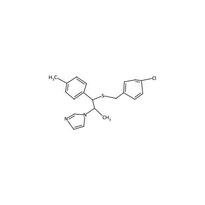 Cc1ccc(C(SCc2ccc(Cl)cc2)C(C)n2ccnc2)cc1